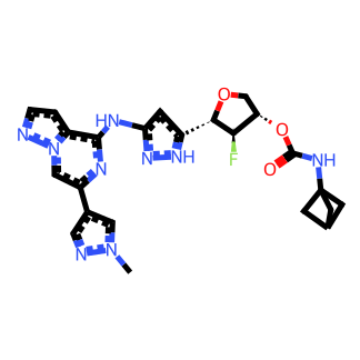 Cn1cc(-c2cn3nccc3c(Nc3cc([C@@H]4OC[C@H](OC(=O)NC56CC(C5)C6)[C@H]4F)[nH]n3)n2)cn1